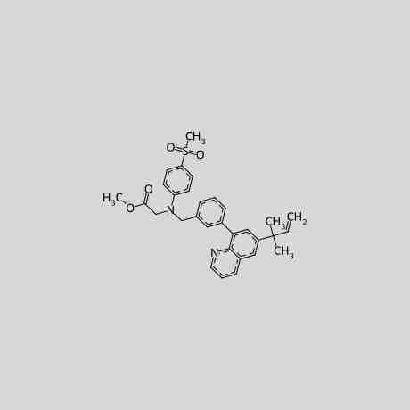 C=CC(C)(C)c1cc(-c2cccc(CN(CC(=O)OC)c3ccc(S(C)(=O)=O)cc3)c2)c2ncccc2c1